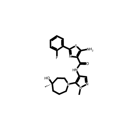 Cn1ncc(NC(=O)c2nc(-c3ccccc3F)sc2N)c1N1CCC[C@@](C)(O)CC1